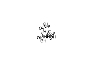 CNC(=O)CC[C@@H](N)C(=O)O.CS(=O)(=O)O